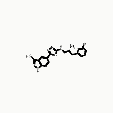 Cc1n[nH]c2ccc(-c3nnc(NC[C@H](N)Cc4cccc(Br)c4)s3)cc12